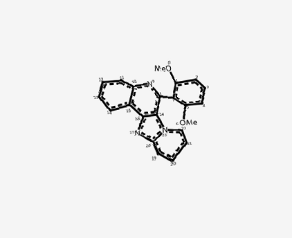 COc1cccc(OC)c1-c1nc2ccccc2c2nc3ccccn3c12